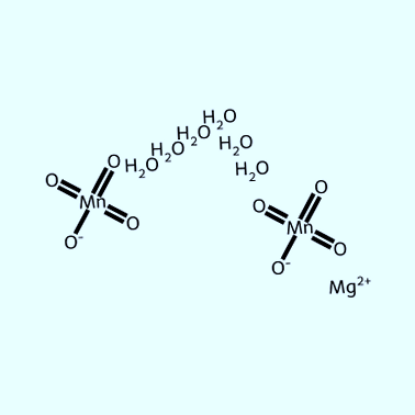 O.O.O.O.O.O.[Mg+2].[O]=[Mn](=[O])(=[O])[O-].[O]=[Mn](=[O])(=[O])[O-]